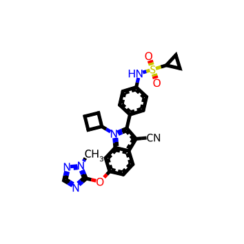 Cn1ncnc1Oc1ccc2c(C#N)c(-c3ccc(NS(=O)(=O)C4CC4)cc3)n(C3CCC3)c2c1